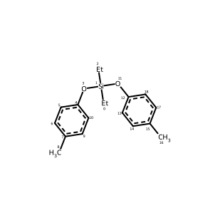 CC[Si](CC)(Oc1ccc(C)cc1)Oc1ccc(C)cc1